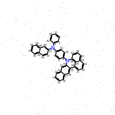 c1ccc(N(c2ccc(N3c4cc5ccccc5cc4-c4cccc5cccc3c45)cc2)c2ccc3ccccc3c2)cc1